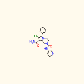 NC(=O)c1c(Cl)c(-c2ccccc2)n2c1CN(C(=O)Nc1cccnc1)CC2